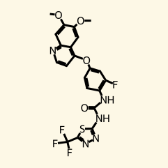 COc1cc2nccc(Oc3ccc(NC(=O)Nc4nnc(C(F)(F)F)s4)c(F)c3)c2cc1OC